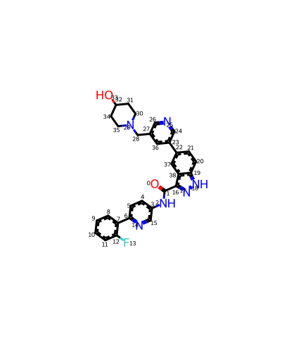 O=C(Nc1ccc(-c2ccccc2F)nc1)c1n[nH]c2ccc(-c3cncc(CN4CCC(O)CC4)c3)cc12